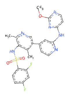 COc1nccc(Nc2cc(-c3cnc(C)c(NS(=O)(=O)c4ccc(F)cc4F)c3C)ccn2)n1